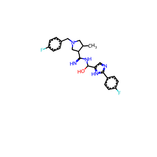 CC1CN(Cc2ccc(F)cc2)CC1C(=N)NC(O)c1cnc(-c2ccc(F)cc2)[nH]1